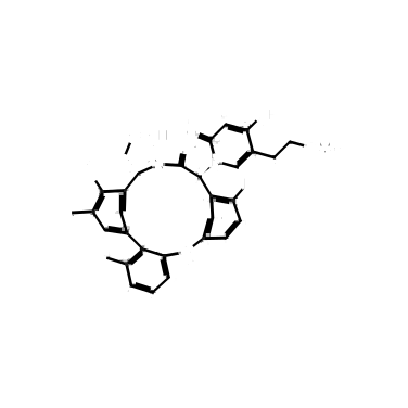 COCCc1cn([C@@H]2C(=O)N[C@@H](CC(=O)O)c3cc(cc(C)c3F)-c3c(C)cccc3Oc3ccc(F)c2c3)c(=O)cc1C(F)(F)F